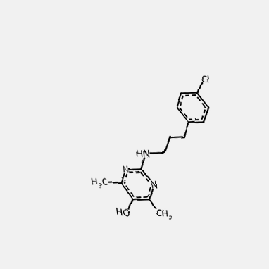 Cc1nc(NCCCc2ccc(Cl)cc2)nc(C)c1O